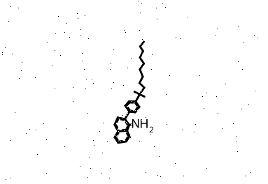 CCCCCCCCCC(C)(C)c1ccc(-c2ccc3ccccc3c2N)cc1